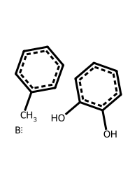 Cc1ccccc1.Oc1ccccc1O.[B]